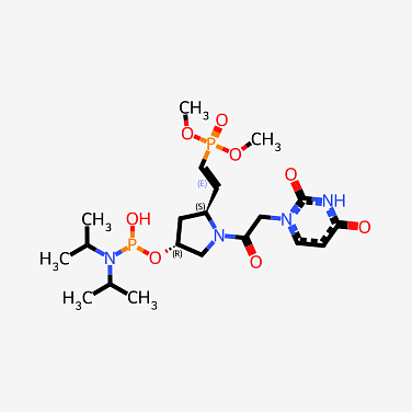 COP(=O)(/C=C/[C@@H]1C[C@@H](OP(O)N(C(C)C)C(C)C)CN1C(=O)Cn1ccc(=O)[nH]c1=O)OC